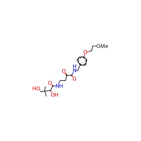 COCCOc1ccc(CNC(=O)C(=O)CCNC(=O)C(O)C(C)(C)CO)cc1